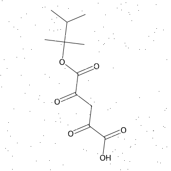 CC(C)C(C)(C)OC(=O)C(=O)CC(=O)C(=O)O